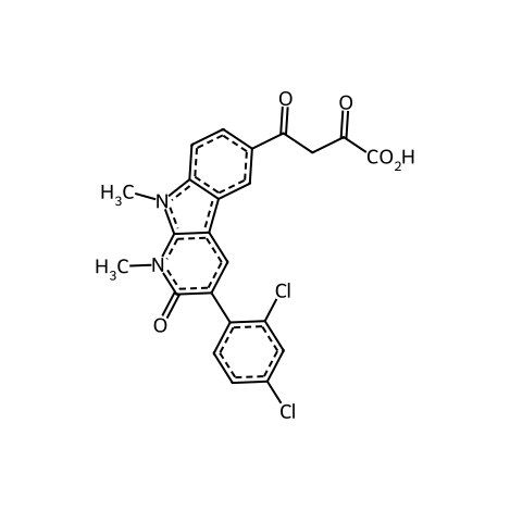 Cn1c(=O)c(-c2ccc(Cl)cc2Cl)cc2c3cc(C(=O)CC(=O)C(=O)O)ccc3n(C)c21